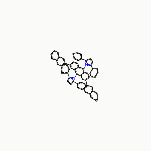 c1ccc(-c2ccc(-c3ccccc3)n2-c2c3ccc(-c4ccc5ccccc5c4)cc3c(-n3c(-c4ccccc4)ccc3-c3ccccc3)c3cc(-c4ccc5ccccc5c4)ccc23)cc1